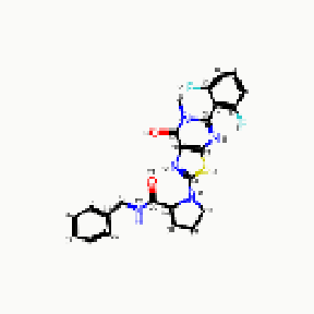 Cn1c(-c2c(F)cccc2F)nc2sc(N3CCCC3C(=O)NCc3ccccc3)nc2c1=O